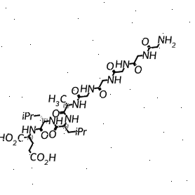 CC(C)C[C@H](NC(=O)[C@H](C)NC(=O)CNC(=O)CNC(=O)CNC(=O)CNC(=O)CN)C(=O)N[C@@H](CC(C)C)C(=O)N[C@@H](CCC(=O)O)C(=O)O